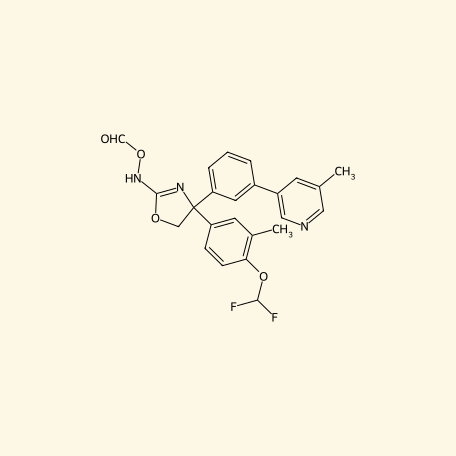 Cc1cncc(-c2cccc(C3(c4ccc(OC(F)F)c(C)c4)COC(NOC=O)=N3)c2)c1